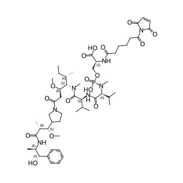 CC[C@H](C)[C@@H]([C@@H](CC(=O)N1CCC([C@H](OC)[C@@H](C)C(=O)N[C@H](C)[C@@H](O)c2ccccc2)C1)OC)N(C)C(=O)[C@@H](NC(=O)[C@H](C(C)C)N(C)P(=O)(O)OC[C@H](NC(=O)CCCCC(=O)N1C(=O)C=CC1=O)C(=O)O)C(C)C